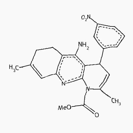 COC(=O)N1C(C)=CC(c2cccc([N+](=O)[O-])c2)c2c1nc1c(c2N)CCC(C)=C1